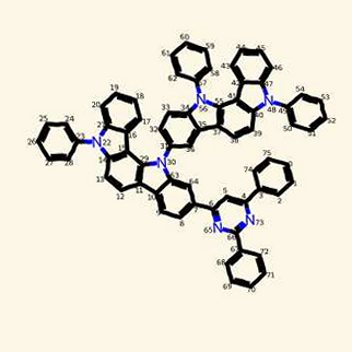 c1ccc(-c2cc(-c3ccc4c5ccc6c(c7ccccc7n6-c6ccccc6)c5n(-c5ccc6c(c5)c5ccc7c(c8ccccc8n7-c7ccccc7)c5n6-c5ccccc5)c4c3)nc(-c3ccccc3)n2)cc1